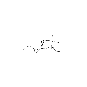 CCOC(=O)CN(CC)C(C)(C)C